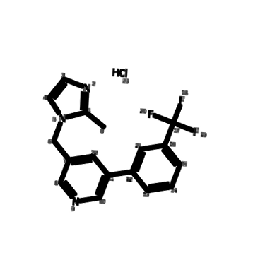 Cc1nccn1Cc1cncc(-c2cccc(C(F)(F)F)c2)c1.Cl